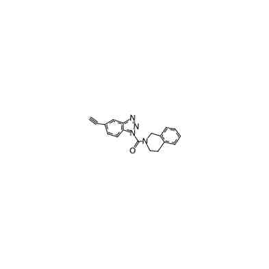 C#Cc1ccc2c(c1)nnn2C(=O)N1CCc2ccccc2C1